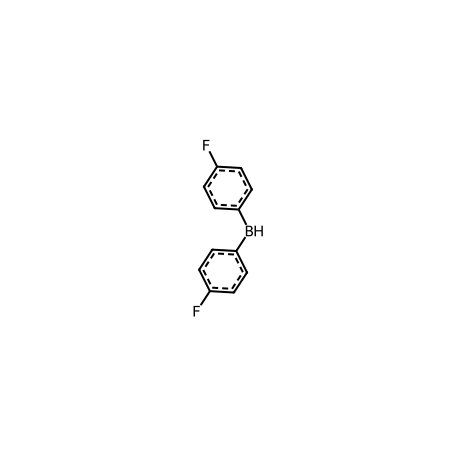 Fc1ccc(Bc2ccc(F)cc2)cc1